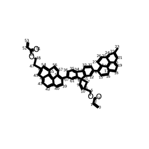 C=CC(=O)OCCCC1(C=C)c2cc(-c3ccc4ccc5cc(C)cc6ccc3c4c56)ccc2-c2ccc(-c3ccc4ccc5cc(CCOC(=O)C=C)cc6ccc3c4c56)cc21